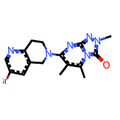 Cc1c(N2CCc3ncc(Br)cc3C2)nc2nn(C)c(=O)n2c1C